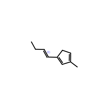 CC/C=C/C1=CC(C)=CC1